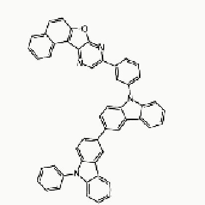 c1ccc(-n2c3ccccc3c3cc(-c4ccc5c(c4)c4ccccc4n5-c4cccc(-c5cnc6c(n5)oc5ccc7ccccc7c56)c4)ccc32)cc1